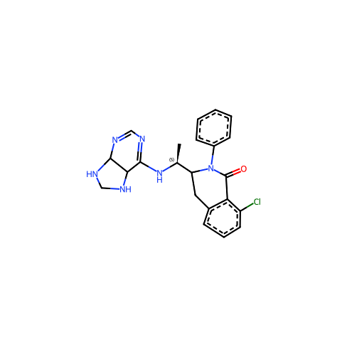 C[C@H](NC1=NC=NC2NCNC12)C1Cc2cccc(Cl)c2C(=O)N1c1ccccc1